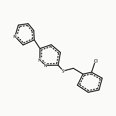 Clc1ccccc1CSc1ccc(-c2cccnc2)nn1